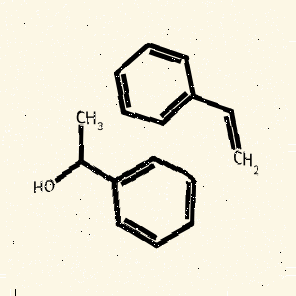 C=Cc1ccccc1.CC(O)c1ccccc1